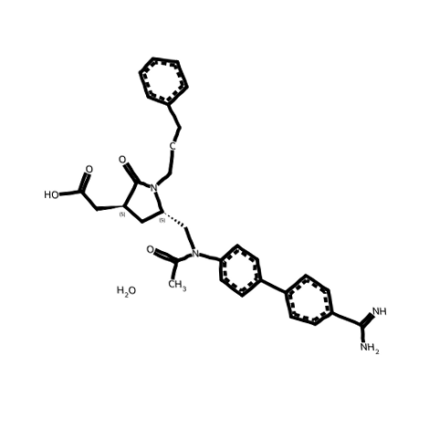 CC(=O)N(C[C@@H]1C[C@@H](CC(=O)O)C(=O)N1CCCc1ccccc1)c1ccc(-c2ccc(C(=N)N)cc2)cc1.O